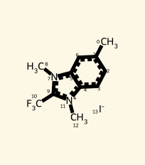 Cc1ccc2c(c1)n(C)c(C(F)(F)F)[n+]2C.[I-]